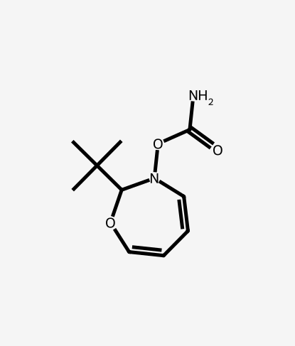 CC(C)(C)C1OC=CC=CN1OC(N)=O